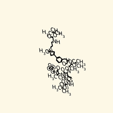 C[n+]1cc(-c2ccc3c(c2)CC[C@H](C(C)(O/N=C(\C(=O)N[C@@H]2C(=O)N(OS(=O)(=O)[O-])C2(C)C)c2csc(NC(=O)OC(C)(C)C)n2)C(=O)OC(C)(C)C)O3)cn1CCCNC(=O)OC(C)(C)C